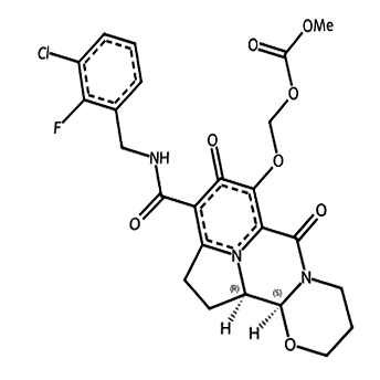 COC(=O)OCOc1c2n3c(c(C(=O)NCc4cccc(Cl)c4F)c1=O)CC[C@@H]3[C@@H]1OCCCN1C2=O